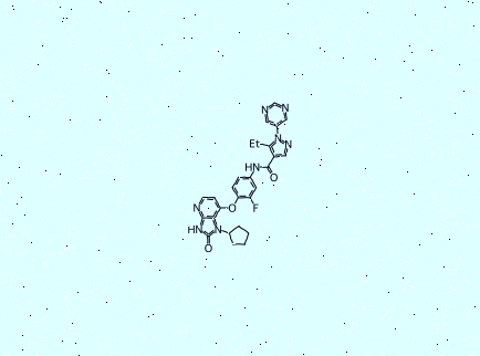 CCc1c(C(=O)Nc2ccc(Oc3ccnc4[nH]c(=O)n(C5CCCC5)c34)c(F)c2)cnn1-c1cncnc1